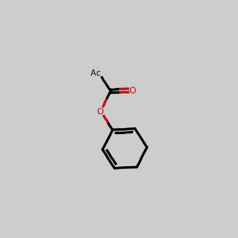 CC(=O)C(=O)OC1=CCCC=C1